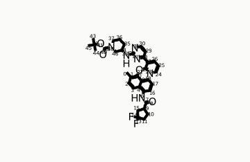 Cc1ccc2c(NC(=O)C3CCC(F)(F)C3)cccc2c1Oc1ncccc1-c1ccnc(NC2CCCN(C(=O)OC(C)(C)C)C2)n1